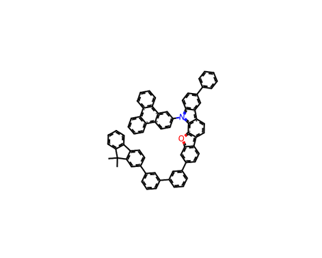 CC1(C)c2ccccc2-c2ccc(-c3cccc(-c4cccc(-c5ccc6c(c5)oc5c6ccc6c7cc(-c8ccccc8)ccc7n(-c7ccc8c9ccccc9c9ccccc9c8c7)c65)c4)c3)cc21